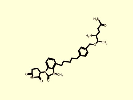 C[C@@H](OCc1ccc(CCCCCc2cccc3c2n(C)c(=O)n3C2CCC(=O)NC2=O)cc1)[C@@H](N)CCC(N)=O